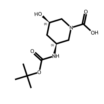 CC(C)(C)OC(=O)N[C@H]1C[C@@H](O)CN(C(=O)O)C1